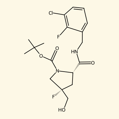 CC(C)(C)OC(=O)N1C[C@](F)(CO)C[C@H]1C(=O)NCc1cccc(Cl)c1F